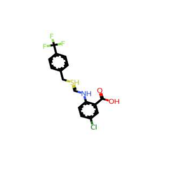 O=C(O)c1cc(Cl)ccc1NC=[SH]Cc1ccc(C(F)(F)F)cc1